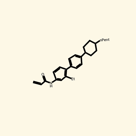 C=CC(=O)Nc1ccc(-c2ccc(C3CCC(CCCCC)CC3)cc2)c(CC)c1